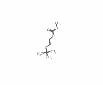 COC(=O)OCCOC(C)(C)C